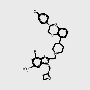 O=C(O)c1cc(F)c2nc(CN3CCC(c4cccc5c4OC[C@@H](c4ccc(Cl)cc4)O5)CC3)n(C[C@@H]3CCO3)c2c1